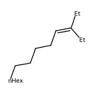 CCCCCCCCCCC=C(CC)CC